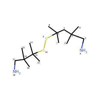 CC(C)(CN)CC(C)(C)SSC(C)(C)C(C)(C)CN